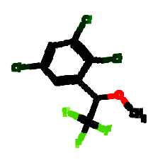 COC(c1cc(Cl)cc(Cl)c1Cl)C(F)(F)F